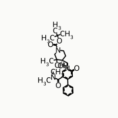 CN(C)C(=O)c1cn(C[C@]2(O)CCN(C(=O)OC(C)(C)C)CC2(C)C)c(=O)cc1-c1ccccc1